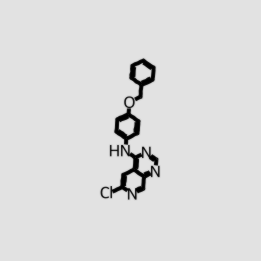 Clc1cc2c(Nc3ccc(OCc4ccccc4)cc3)ncnc2cn1